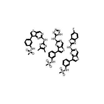 CS(=O)(=O)Nc1cccc(-c2csc3cnc(Nc4nc5ccc(F)cc5s4)nc23)c1.CS(=O)(=O)Nc1cccc(-c2csc3cnc(Nc4nnn[nH]4)nc23)c1.Cc1nc(Nc2ncc3scc(-c4cccc(NS(C)(=O)=O)c4)c3n2)sc1C